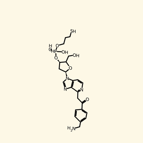 NCc1ccc(C(=O)Cc2nccc3c2ncn3[C@H]2C[C@@H](O[PH](O)(O)OCCCS)C(CO)O2)cc1